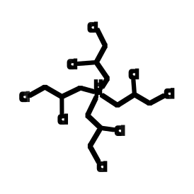 ClCC(Cl)C[PH](CC(Cl)CCl)(CC(Cl)CCl)CC(Cl)CCl